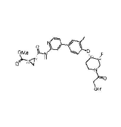 COC(=O)[C@@H]1C[C@H]1C(=O)Nc1cc(-c2ccc(O[C@H]3CCN(C(=O)CO)C[C@H]3F)c(C)c2)ccn1